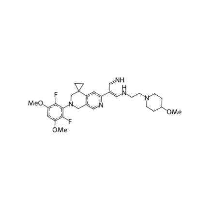 COc1cc(OC)c(F)c(N2Cc3cnc(/C(C=N)=C/NCCN4CCC(OC)CC4)cc3C3(CC3)C2)c1F